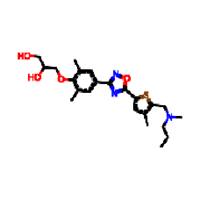 CCCN(C)Cc1sc(-c2nc(-c3cc(C)c(OCC(O)CO)c(C)c3)no2)cc1C